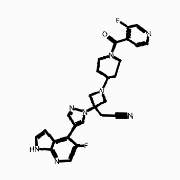 N#CCC1(n2cc(-c3c(F)cnc4[nH]ccc34)cn2)CN(C2CCN(C(=O)c3ccncc3F)CC2)C1